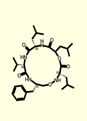 CC(C)CC1OC(=O)[C@H](CC(C)C)NOC[C@H](Cc2ccccc2)NC(=O)[C@H](C(C)C)NC(=O)[C@H](CC(C)C)NC1=O